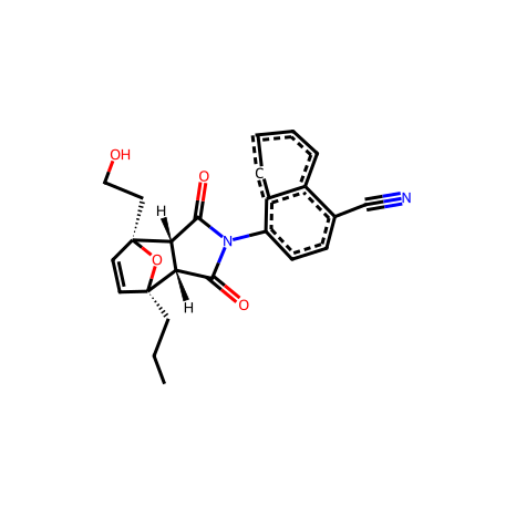 CCC[C@]12C=C[C@](CCO)(O1)[C@@H]1C(=O)N(c3ccc(C#N)c4ccccc34)C(=O)[C@@H]12